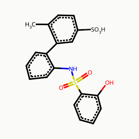 Cc1ccc(S(=O)(=O)O)cc1-c1ccccc1NS(=O)(=O)c1ccccc1O